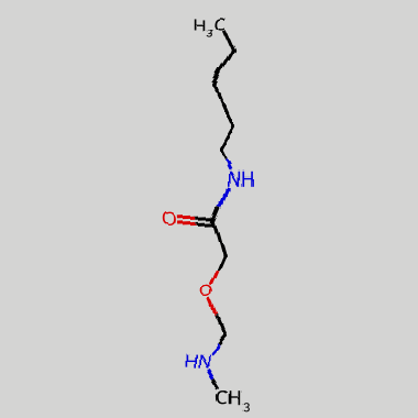 CCCCCNC(=O)COCNC